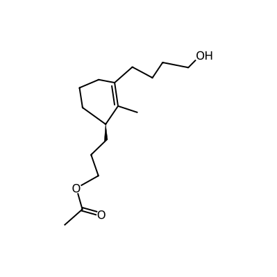 CC(=O)OCCC[C@H]1CCCC(CCCCO)=C1C